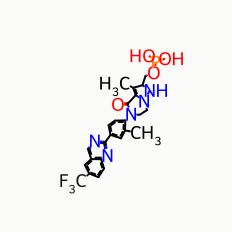 CC1=C2C(=O)N(c3ccc(-c4ncc5cc(C(F)(F)F)ccc5n4)cc3C)CCN2NC1COP(O)O